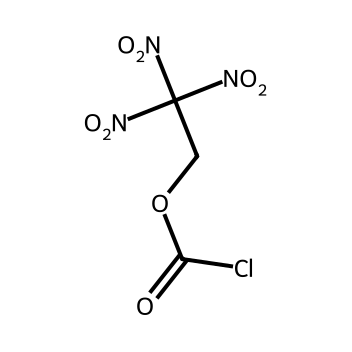 O=C(Cl)OCC([N+](=O)[O-])([N+](=O)[O-])[N+](=O)[O-]